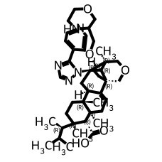 CC(C)[C@@H](C)[C@@]1(C)CC[C@]2(C)[C@H]3CC[C@@H]4[C@@]5(COC[C@]4(C)[C@@H](OCC4COCCN4)[C@H](n4ncnc4-c4ccncc4)C5)C3=CC[C@@]2(C)[C@@H]1C(=O)O